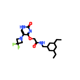 CCC1CC(CC)CC(CNC(=O)COc2nc(=O)[nH]cc2N2CC(F)(F)C2)C1